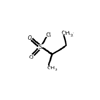 [CH2]CC(C)S(=O)(=O)Cl